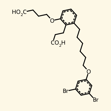 O=C(O)CCCOc1cccc(CCCCCCOc2cc(Br)cc(Br)c2)c1CCC(=O)O